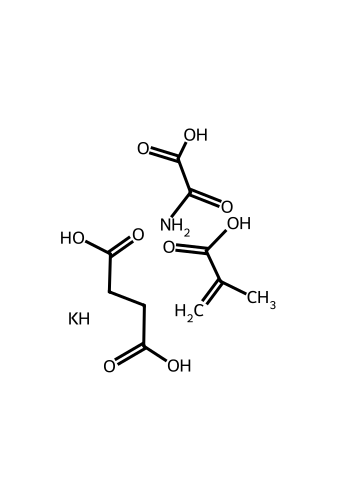 C=C(C)C(=O)O.NC(=O)C(=O)O.O=C(O)CCC(=O)O.[KH]